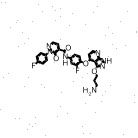 NCCCOc1n[nH]c2nccc(Oc3ccc(NC(=O)c4ccnn(-c5ccc(F)cc5)c4=O)cc3F)c12